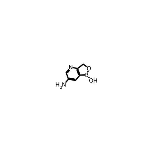 Nc1cnc2c(c1)B(O)OC2